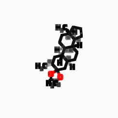 COC1(OC)C[C@@H]2CC[C@@H]3[C@H](CC[C@]4(C)CCC[C@@H]34)[C@H]2C[C@H]1C